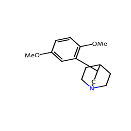 COc1ccc(OC)c(C2CN3CCC2CC3)c1